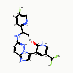 CC(Nc1ccc2ncc(-c3cc(C(F)F)c[nH]c3=O)n2n1)c1ccc(F)cn1